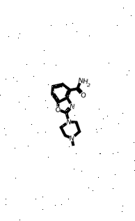 CN1CCN(c2nc3c(C(N)=O)[c]ccc3o2)CC1